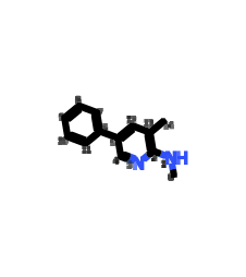 CNc1ncc(-c2ccccc2)cc1C